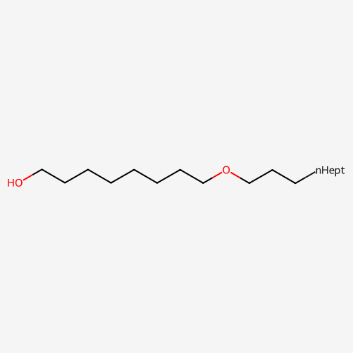 CCCCCCCCCCOCCCCCCCCO